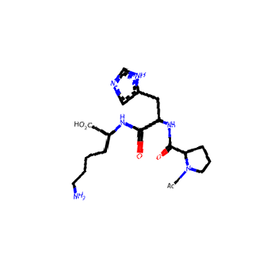 CC(=O)N1CCCC1C(=O)NC(Cc1cnc[nH]1)C(=O)NC(CCCCN)C(=O)O